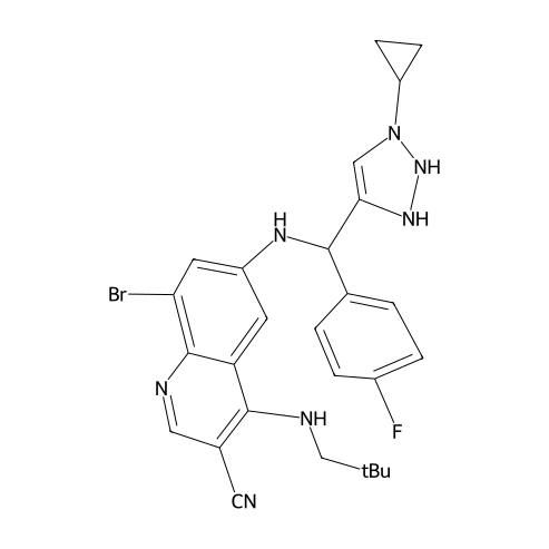 CC(C)(C)CNc1c(C#N)cnc2c(Br)cc(NC(C3=CN(C4CC4)NN3)c3ccc(F)cc3)cc12